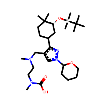 CN(CCN(C)C(=O)O)Cc1cn(C2CCCCO2)nc1C1CCC(C)(C)[C@H](O[Si](C)(C)C(C)(C)C)C1